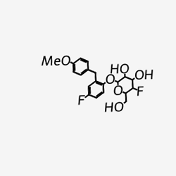 COc1ccc(Cc2cc(F)ccc2OC2OC(CO)C(F)C(O)C2O)cc1